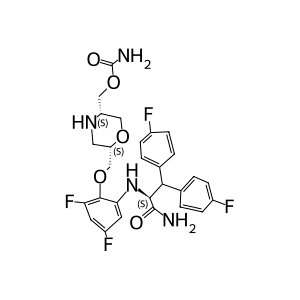 NC(=O)OC[C@@H]1CO[C@H](COc2c(F)cc(F)cc2N[C@H](C(N)=O)C(c2ccc(F)cc2)c2ccc(F)cc2)CN1